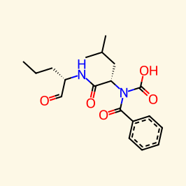 CCC[C@@H](C=O)NC(=O)[C@H](CC(C)C)N(C(=O)O)C(=O)c1ccccc1